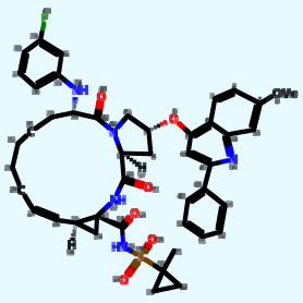 COc1ccc2c(O[C@@H]3C[C@H]4C(=O)N[C@]5(C(=O)NS(=O)(=O)C6(C)CC6)C[C@H]5/C=C\CCCCC[C@H](Nc5cccc(F)c5)C(=O)N4C3)cc(-c3ccccc3)nc2c1